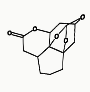 O=C1CC2CCCC34CC5CC(O1)C23OC(O5)O4